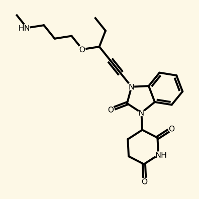 CCC(C#Cn1c(=O)n(C2CCC(=O)NC2=O)c2ccccc21)OCCCNC